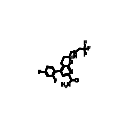 NC(=O)c1cc(-c2ccc(F)cc2F)c2c(n1)O[C@H](CNCC(F)(F)F)CC2